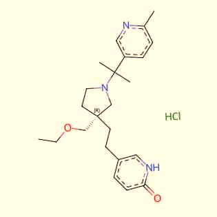 CCOC[C@]1(CCc2ccc(=O)[nH]c2)CCN(C(C)(C)c2ccc(C)nc2)C1.Cl